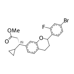 COC(=O)C[C@H](c1ccc2c(c1)OC(c1ccc(Br)cc1F)CC2)C1CC1